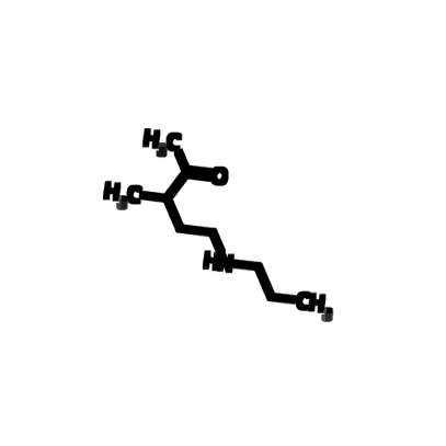 CCCNCCC(C)C(C)=O